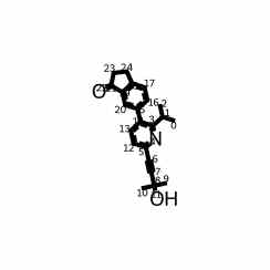 CC(C)c1nc(C#CC(C)(C)O)ccc1-c1ccc2c(c1)C(=O)CC2